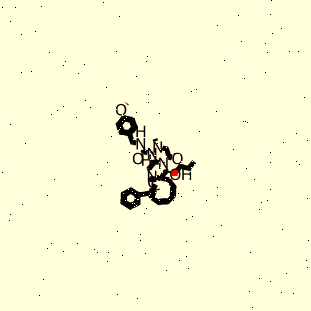 CCCC[C@@H]1N2C(=O)CN(C)N(C(=O)NCc3ccc(OC)cc3)[C@H]2CN2CC(c3ccccc3)C3=CCC12C(O)/C=C\C=C/3